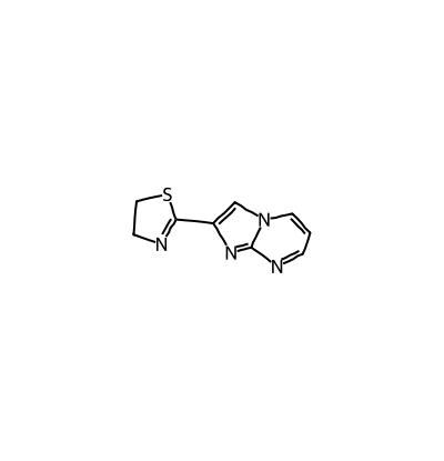 c1cnc2nc(C3=NCCS3)cn2c1